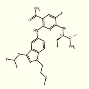 CC[C@@H](Nc1nc(Nc2ccc3c(c2)c(OC(F)F)nn3CCOC)c(C(N)=O)cc1F)[C@H](C)N